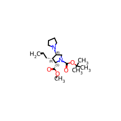 C=CC[C@H]1[C@@H](C(=O)OC)N(C(=O)OC(C)(C)C)C[C@@H]1N1CCCC1